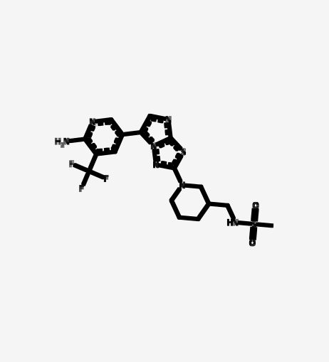 CS(=O)(=O)NCC1CCCN(c2nn3c(-c4cnc(N)c(C(F)(F)F)c4)cnc3s2)C1